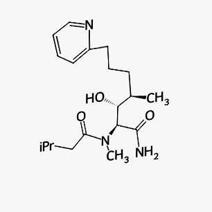 CC(C)CC(=O)N(C)[C@H](C(N)=O)[C@H](O)[C@H](C)CCCc1ccccn1